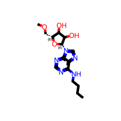 CCCCNc1ncnc2c1ncn2[C@@H]1O[C@H](COC)C(O)C1O